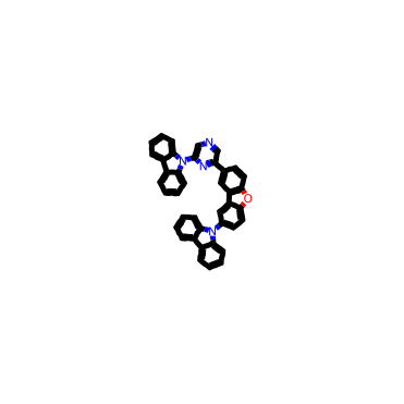 c1ccc2c(c1)c1ccccc1n2-c1ccc2oc3ccc(-c4cncc(-n5c6ccccc6c6ccccc65)n4)cc3c2c1